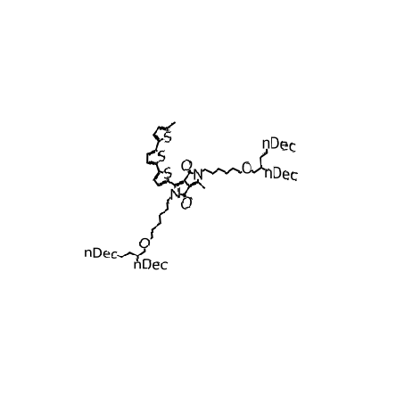 CCCCCCCCCCCCC(CCCCCCCCCC)COCCCCCCN1C(=O)C2=C(c3ccc(-c4ccc(-c5ccc(C)s5)s4)s3)N(CCCCCCOCC(CCCCCCCCCC)CCCCCCCCCCCC)C(=O)C2=C1C